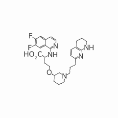 O=C(O)[C@H](CCO[C@@H]1CCCN(CCCc2ccc3c(n2)NCCC3)C1)Nc1nccc2cc(F)c(F)cc12